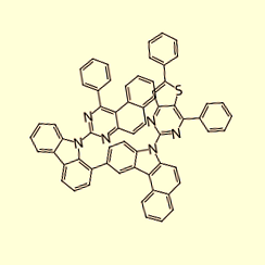 c1ccc(-c2cc3nc(-n4c5ccc(-c6cccc7c8ccccc8n(-c8nc(-c9ccccc9)c9c(ccc%10ccccc%109)n8)c67)cc5c5c6ccccc6ccc54)nc(-c4ccccc4)c3s2)cc1